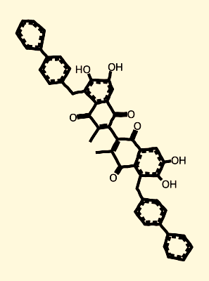 CC1=C(C2=C(C)C(=O)c3c(cc(O)c(O)c3Cc3ccc(-c4ccccc4)cc3)C2=O)C(=O)c2cc(O)c(O)c(Cc3ccc(-c4ccccc4)cc3)c2C1=O